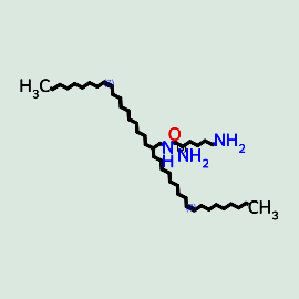 CCCCCCCC/C=C\CCCCCCCCCC(CCCCCCCC/C=C\CCCCCCCC)CNC(=O)[C@@H](N)CCCCN